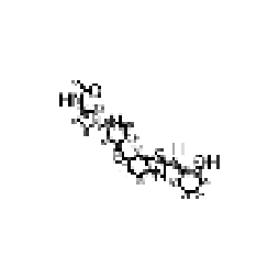 CC(=O)N[C@@H]1CCN(c2cc(Oc3ccc4nc(N[C@@H]5CCCC[C@H]5O)sc4c3)ccn2)C1